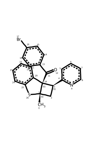 C[C@]12C[C@H](c3ccccn3)[C@@]1(C(=O)c1ccc(Br)cc1)c1ccccc1S2